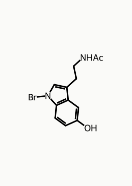 CC(=O)NCCc1cn(Br)c2ccc(O)cc12